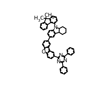 CC1(C)c2ccccc2-c2c(N3c4ccc(-c5ccc6oc7ccc(-c8nc(-c9ccccc9)nc(-c9ccccc9)n8)cc7c6c5)cc4C4CCCCC43)cccc21